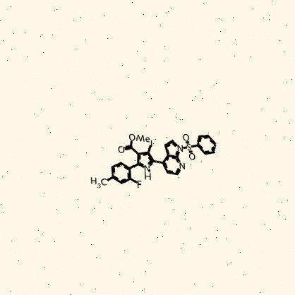 COC(=O)c1c(-c2ccc(C)cc2F)[nH]c(-c2ccnc3c2ccn3S(=O)(=O)c2ccccc2)c1I